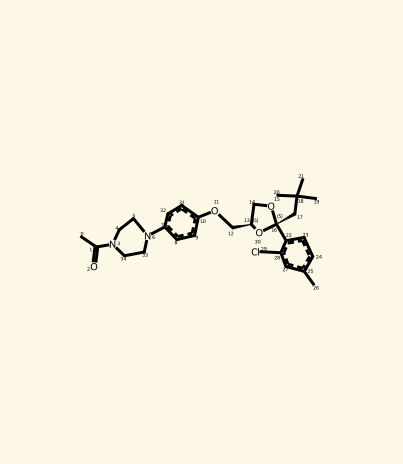 CC(=O)N1CCN(c2ccc(OC[C@H]3CO[C@](CC(C)(C)C)(c4ccc(C)cc4Cl)O3)cc2)CC1